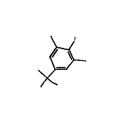 Cc1cc(C(C)(C)C)cc(C)c1F